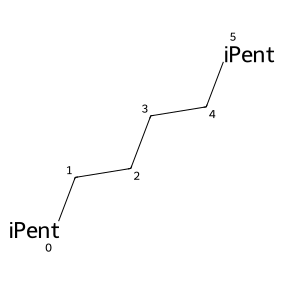 [CH2]CCC(C)CCCCC(C)CC[CH2]